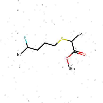 CCC(F)CCCSC(C(=O)OC(C)(C)C)C(C)C